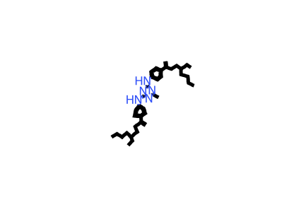 C=C(CCC(CC)CCCC)c1ccc(Nc2nc(C)nc(Nc3ccc(C(=C)CCC(CC)CCCC)cc3)n2)cc1